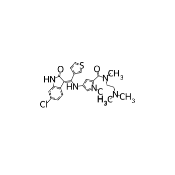 CN(C)CCN(C)C(=O)c1cc(NC(=C2C(=O)Nc3cc(Cl)ccc32)c2ccsc2)cn1C